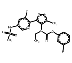 CCN(C(=O)Oc1cccc(F)c1)c1c(-c2ncc(NS(C)(=O)=O)cc2F)nnn1C